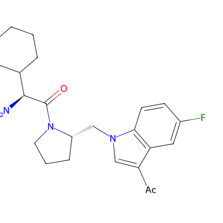 CC(=O)c1cn(C[C@@H]2CCCN2C(=O)[C@@H](N)C2CCCCC2)c2ccc(F)cc12